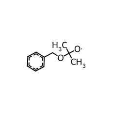 CC(C)([O])OCc1ccccc1